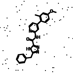 COc1ccc(-c2ccnc(NC(=O)c3nnc(Cc4ccccc4)[nH]3)c2)c(C)c1